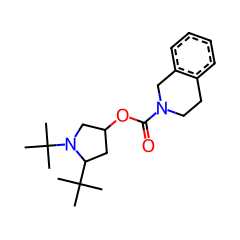 CC(C)(C)C1CC(OC(=O)N2CCc3ccccc3C2)CN1C(C)(C)C